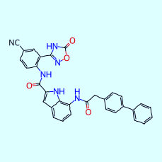 N#Cc1ccc(NC(=O)c2cc3cccc(NC(=O)Cc4ccc(-c5ccccc5)cc4)c3[nH]2)c(-c2noc(=O)[nH]2)c1